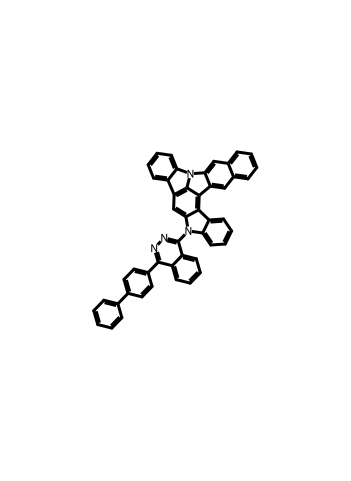 c1ccc(-c2ccc(-c3nnc(-n4c5ccccc5c5c6c7cc8ccccc8cc7n7c8ccccc8c(cc54)c67)c4ccccc34)cc2)cc1